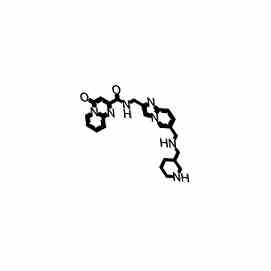 O=C(NCc1cn2cc(CNCC3CCCNC3)ccc2n1)c1cc(=O)n2ccccc2n1